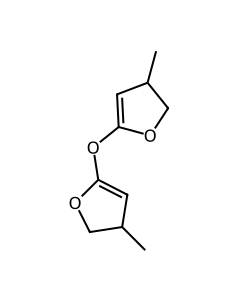 CC1C=C(OC2=CC(C)CO2)OC1